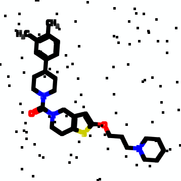 Cc1ccc(C2CCN(C(=O)N3CCc4sc(OCCCN5CCCCC5)cc4C3)CC2)cc1C